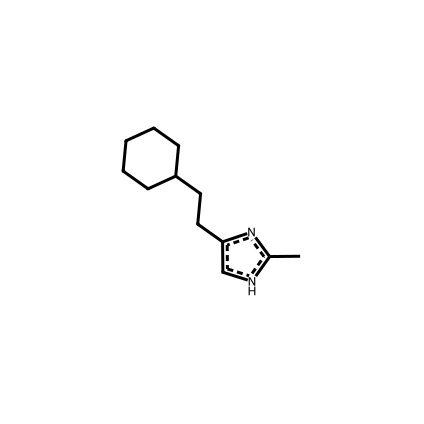 Cc1nc(CCC2CCCCC2)c[nH]1